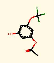 CC(=O)Oc1cc(O)cc(OC(F)(F)F)c1